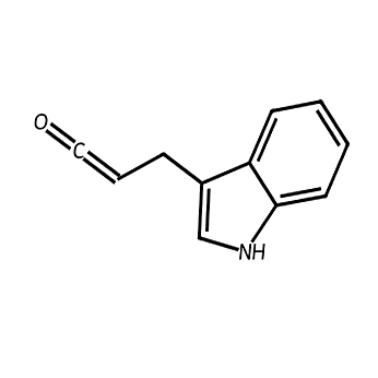 O=C=CCc1c[nH]c2ccccc12